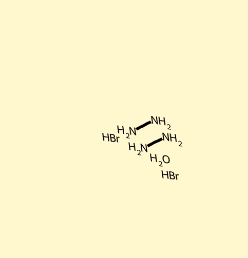 Br.Br.NN.NN.O